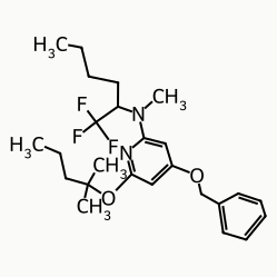 CCCCC(N(C)c1cc(OCc2ccccc2)cc(OC(C)(C)CCC)n1)C(F)(F)F